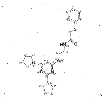 O=C(CSc1ncccn1)NCCNc1cc(N2CCCC2)nc(N2CCCC2)n1